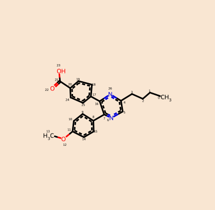 CCCCc1cnc(-c2ccc(OC)cc2)c(-c2ccc(C(=O)O)cc2)n1